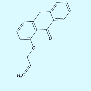 C=CCOc1cccc2c1C(=O)c1ccccc1C2